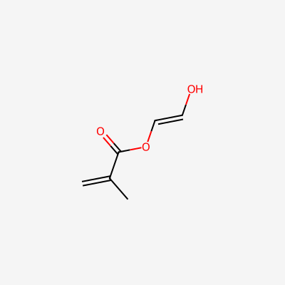 C=C(C)C(=O)OC=CO